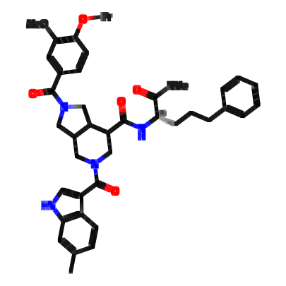 CNC(=O)[C@H](CCCc1ccccc1)NC(=O)C1CN(C(=O)c2c[nH]c3cc(C)ccc23)CC2CN(C(=O)c3ccc(OC(C)C)c(OC)c3)CC21